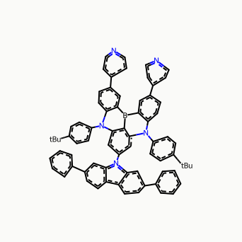 CC(C)(C)c1ccc(N2c3ccc(-c4ccncc4)cc3B3c4cc(-c5ccncc5)ccc4N(c4ccc(C(C)(C)C)cc4)c4cc(-n5c6cc(-c7ccccc7)ccc6c6ccc(-c7ccccc7)cc65)cc2c43)cc1